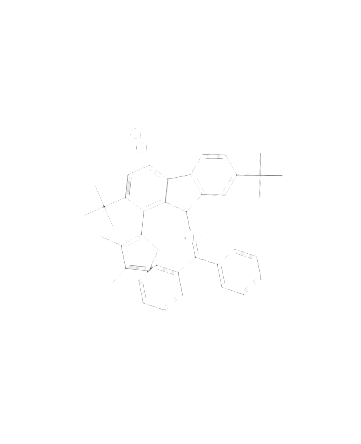 CC1=CCC(c2c(C(C)(C)C)ccc3c2[CH]([Zr+2]=[C](c2ccccc2)c2ccccc2)c2cc(C(C)(C)C)ccc2-3)=C1C.[Cl-].[Cl-]